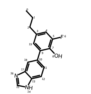 CCCc1cc(F)c(O)c(-c2ccc3[nH]cnc3c2)c1